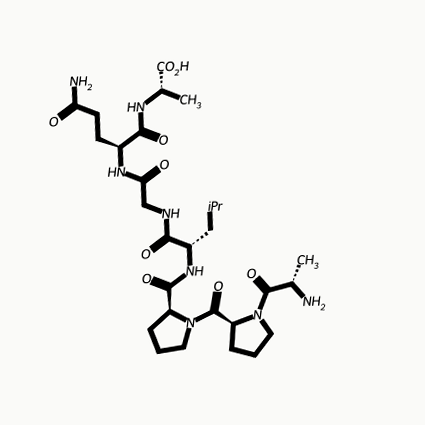 CC(C)C[C@H](NC(=O)[C@@H]1CCCN1C(=O)[C@@H]1CCCN1C(=O)[C@H](C)N)C(=O)NCC(=O)N[C@@H](CCC(N)=O)C(=O)N[C@@H](C)C(=O)O